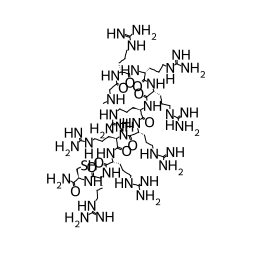 CNCC(=O)N[C@H](CCCNC(=N)N)C(=O)N[C@H](CCCNC(=N)N)C(=O)N[C@H](CCCNC(=N)N)C(=O)N[C@H](CCCNC(=N)N)C(=O)N[C@H](CCCNC(=N)N)C(=O)N[C@H](CCCNC(=N)N)C(=O)N[C@H](CCCNC(=N)N)C(=O)N[C@H](CCCNC(=N)N)C(=O)N[C@H](CS)C(N)=O